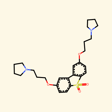 O=S1(=O)c2ccc(OCCCN3CCCC3)cc2-c2cc(OCCCN3CCCC3)ccc21